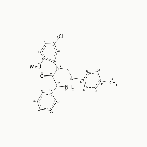 COc1ccc(Cl)cc1N(CCc1ccc(C(F)(F)F)cc1)C(=O)C(N)c1ccccc1